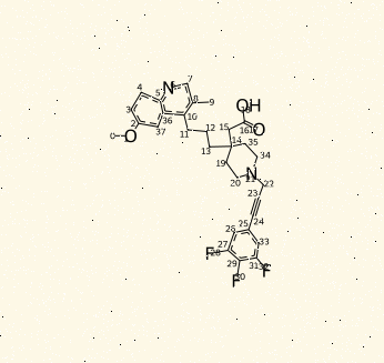 COc1ccc2ncc(C)c(CCCC3(CC(=O)O)CCN(CC#Cc4cc(F)c(F)c(F)c4)CC3)c2c1